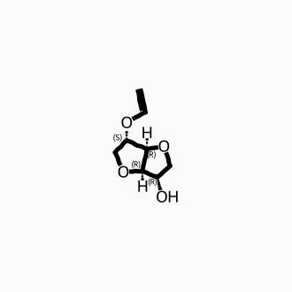 C=CO[C@H]1CO[C@H]2[C@@H]1OC[C@H]2O